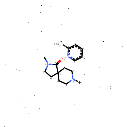 O=C(O)c1ccccn1.[2H]N1CCC2(CC1)CCN(C)C2=O